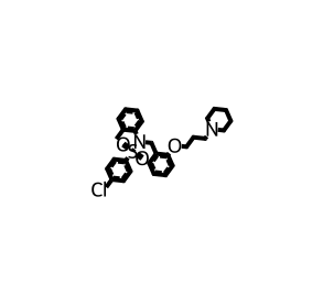 Cc1ccccc1N(Cc1ccccc1OCCCN1CCCCC1)S(=O)(=O)c1ccc(Cl)cc1